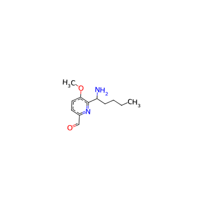 CCCCC(N)c1nc(C=O)ccc1OC